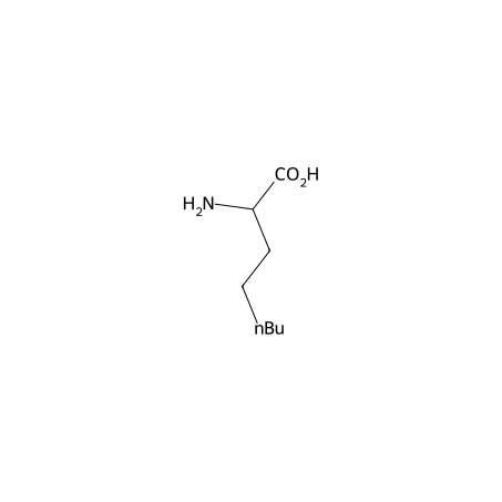 CCCCCCC(N)C(=O)O